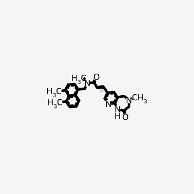 Cc1cccc2c(CN(C)C(=O)/C=C/c3cnc4c(c3)CN(C)CC(=O)N4)ccc(C)c12